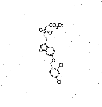 CCOC(=O)CS(=O)(=O)CCc1coc2cc(OCc3ccc(Cl)cc3Cl)ccc12